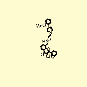 COc1ccccc1N1CCN(CCONCc2cccc3c(=O)c(C)c(-c4ccccc4)oc23)CC1